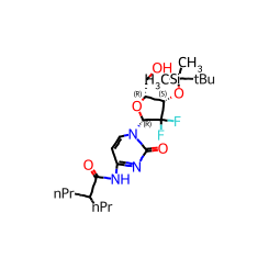 CCCC(CCC)C(=O)Nc1ccn([C@@H]2O[C@H](CO)[C@H](O[Si](C)(C)C(C)(C)C)C2(F)F)c(=O)n1